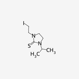 CC(C)N1CCN(CCI)C1=S